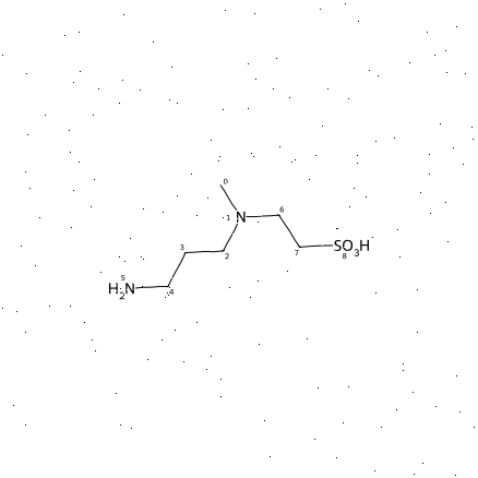 CN(CCCN)CCS(=O)(=O)O